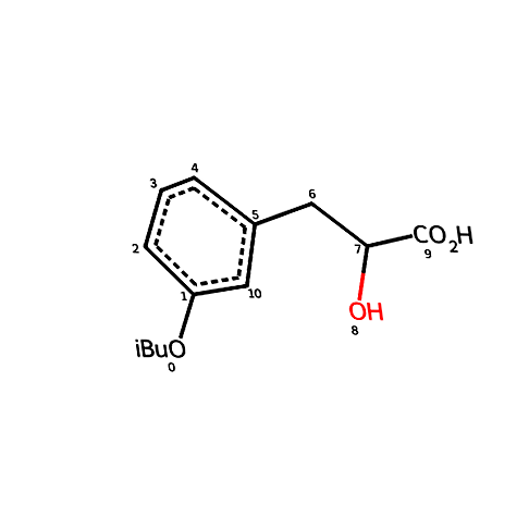 CC(C)COc1cccc(CC(O)C(=O)O)c1